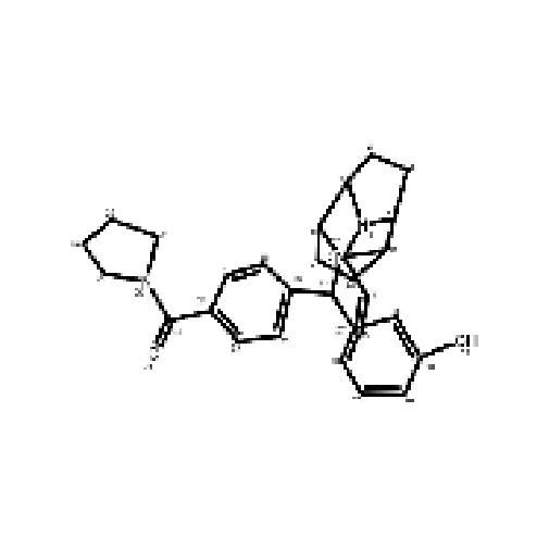 C=CCN1C2CCC1C1CCC2N1C(c1ccc(C(=O)N2CCCC2)cc1)c1cccc(O)c1